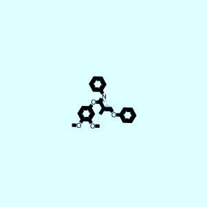 COc1ccc(OC(=N\c2ccccc2)/C(C)=C/Oc2ccccc2)cc1OC